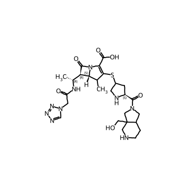 CC1C(SC2CN[C@H](C(=O)N3CC4CCNCC4(CO)C3)C2)=C(C(=O)O)N2C(=O)[C@H]([C@@H](C)NC(=O)Cn3cnnn3)[C@@H]12